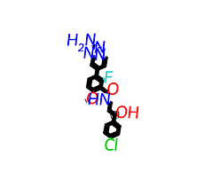 COc1ccc(-c2ccn3nc(N)nc3c2)c(F)c1C(=O)NCC[C@@H](O)c1ccc(Cl)cc1